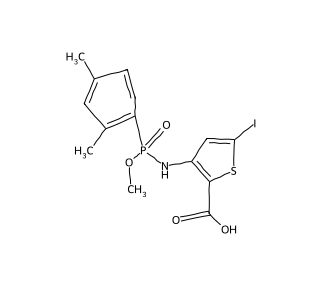 COP(=O)(Nc1cc(I)sc1C(=O)O)c1ccc(C)cc1C